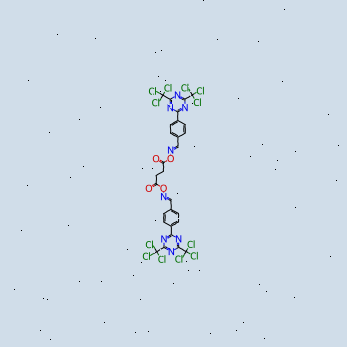 O=C(CCC(=O)O/N=C/c1ccc(-c2nc(C(Cl)(Cl)Cl)nc(C(Cl)(Cl)Cl)n2)cc1)O/N=C/c1ccc(-c2nc(C(Cl)(Cl)Cl)nc(C(Cl)(Cl)Cl)n2)cc1